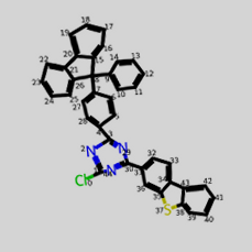 Clc1nc(-c2ccc(C3(c4ccccc4)c4ccccc4-c4ccccc43)cc2)nc(-c2ccc3c(c2)sc2ccccc23)n1